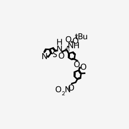 Cc1cc(CCO[N+](=O)[O-])ccc1C(=O)OCc1ccc([C@@H](CNC(=O)OC(C)(C)C)C(=O)Nc2cc3ccncc3s2)cc1